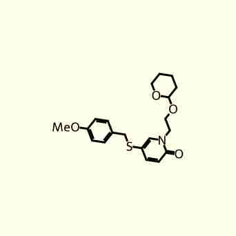 COc1ccc(CSc2ccc(=O)n(CCOC3CCCCO3)c2)cc1